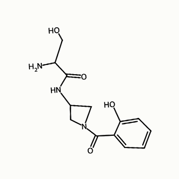 NC(CO)C(=O)NC1CN(C(=O)c2ccccc2O)C1